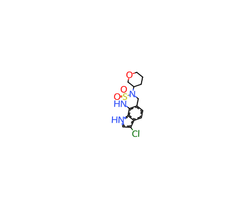 O=S1(=O)Nc2c(ccc3c(Cl)c[nH]c23)CN1C1CCCOC1